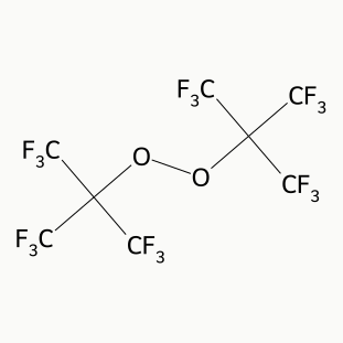 FC(F)(F)C(OOC(C(F)(F)F)(C(F)(F)F)C(F)(F)F)(C(F)(F)F)C(F)(F)F